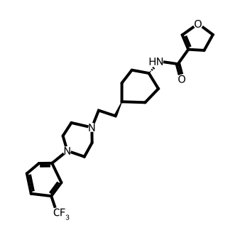 O=C(N[C@H]1CC[C@H](CCN2CCN(c3cccc(C(F)(F)F)c3)CC2)CC1)C1=COCC1